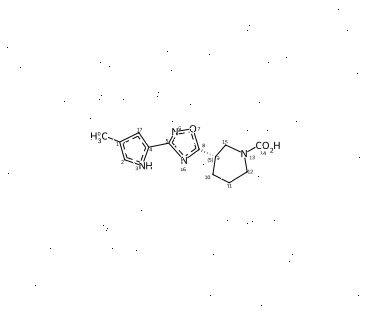 Cc1c[nH]c(-c2noc([C@H]3CCCN(C(=O)O)C3)n2)c1